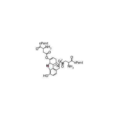 CCCCCC(=O)[C@@H](N)CC(=O)OC1=CC[C@@]2(OC(=O)C[C@H](N)C(=O)CCCCC)[C@H]3Cc4ccc(O)c5c4[C@@]2(CCN3C)[C@H]1O5